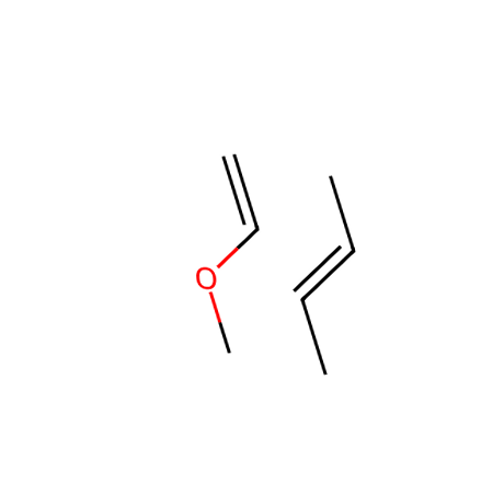 C=COC.CC=CC